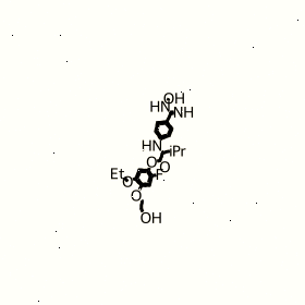 CCOc1cc(OC(=O)C(Nc2ccc(C(=N)NO)cc2)C(C)C)c(F)cc1OCCO